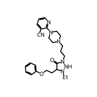 CCN1NN(CCCN2CCN(c3ncccc3C#N)CC2)C(=O)C1CCOc1ccccc1